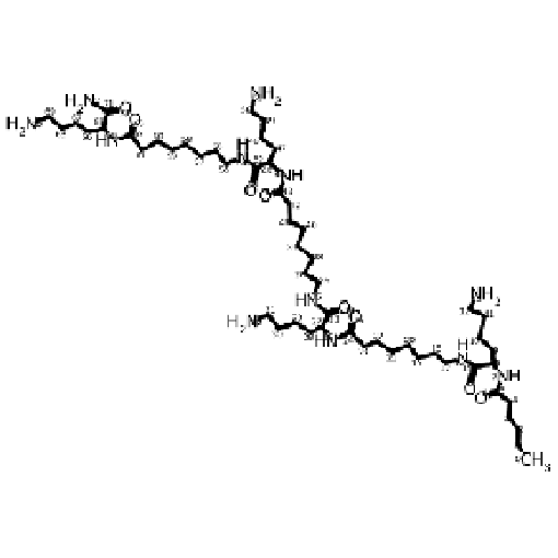 CCCCCC(=O)NC(CCCCN)C(=O)NCCCCCCCC(=O)NC(CCCCN)C(=O)NCCCCCCCC(=O)NC(CCCCN)C(=O)NCCCCCCCC(=O)NC(CCCCN)C(N)=O